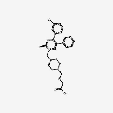 O=C(O)COC[C@H]1CC[C@@H](Cn2nc(-c3ccccc3)c(-c3cccc(Cl)c3)nc2=O)CC1